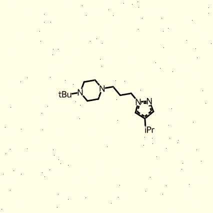 CC(C)c1cnn(CCCN2CCN(C(C)(C)C)CC2)c1